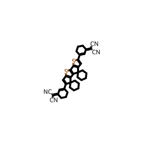 N#CC(C#N)=C1C=C(C2=Cc3sc4c(c3C23CCCCC3)C2(CCCCC2)c2cc(C3=CC(=C(C#N)C#N)CCC3)sc2-4)CCC1